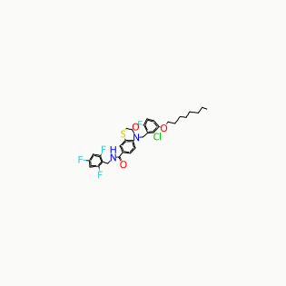 CCCCCCCCOc1ccc(F)c(CN2C(=O)CSc3cc(C(=O)NCc4c(F)cc(F)cc4F)ccc32)c1Cl